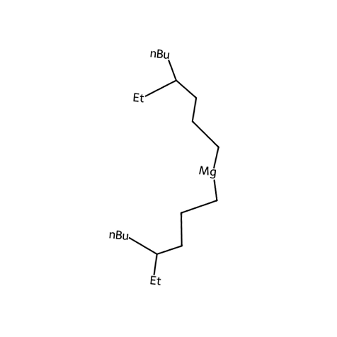 CCCCC(CC)CC[CH2][Mg][CH2]CCC(CC)CCCC